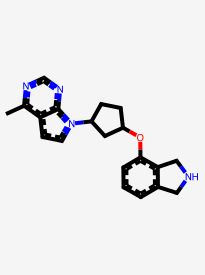 Cc1ncnc2c1ccn2C1CCC(Oc2cccc3c2CNC3)C1